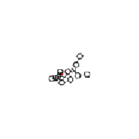 c1ccc(-c2ccc(N(c3cccc(-c4ccccc4)c3)c3ccc4c(c3)C3(c5ccccc5-c5cccc(N(c6ccccc6)c6ccccc6)c53)c3c-4sc4ccccc34)cc2)cc1